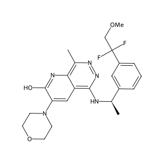 COCC(F)(F)c1cccc([C@@H](C)Nc2nnc(C)c3nc(O)c(N4CCOCC4)cc23)c1